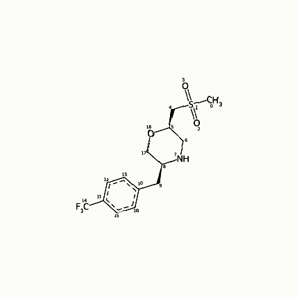 CS(=O)(=O)C[C@H]1CN[C@@H](Cc2ccc(C(F)(F)F)cc2)CO1